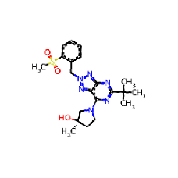 CC(C)(C)c1nc(N2CC[C@@](C)(O)C2)c2nn(Cc3ccccc3S(C)(=O)=O)nc2n1